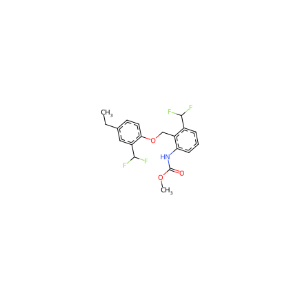 CCc1ccc(OCc2c(NC(=O)OC)cccc2C(F)F)c(C(F)F)c1